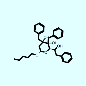 CCCCCO[C@@H]1C[C@](O)(Cc2ccccc2)[C@@](O)(Cc2ccccc2)[C@@H](C(O)Cc2ccccc2)O1